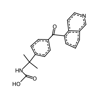 CC(C)(NC(=O)O)c1ccc(C(=O)c2cccc3cnccc23)cc1